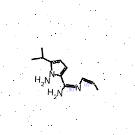 C/C=C\N=C(\N)c1ccc(C(C)C)n1N